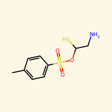 Cc1ccc(S(=O)(=O)OC(S)CN)cc1